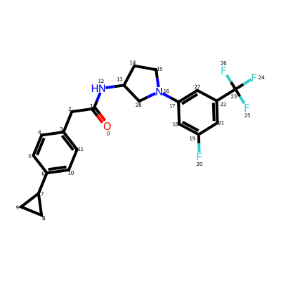 O=C(Cc1ccc(C2CC2)cc1)NC1CCN(c2cc(F)cc(C(F)(F)F)c2)C1